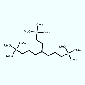 CO[Si](CCCN(CCC[Si](OC)(OC)OC)CC[Si](OC)(OC)OC)(OC)OC